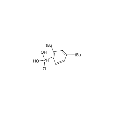 CC(C)(C)c1ccc([PH](O)(O)Cl)c(C(C)(C)C)c1